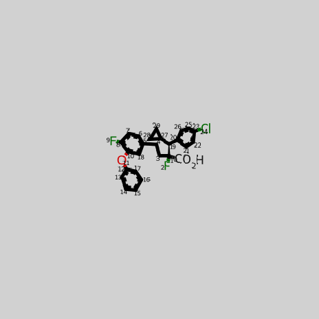 O=C(O)C(F)(CCc1ccc(F)c(Oc2ccccc2)c1)[C@H](c1ccc(Cl)cc1)C1CC1